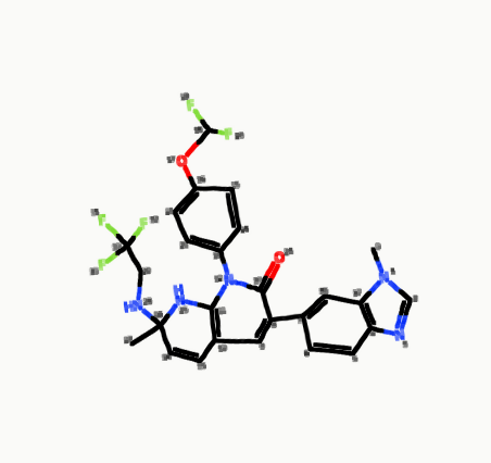 Cn1cnc2ccc(-c3cc4c(n(-c5ccc(OC(F)F)cc5)c3=O)NC(C)(NCC(F)(F)F)C=C4)cc21